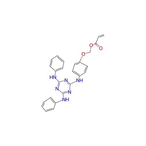 C=CC(=O)OCOc1ccc(Nc2nc(Nc3ccccc3)nc(Nc3ccccc3)n2)cc1